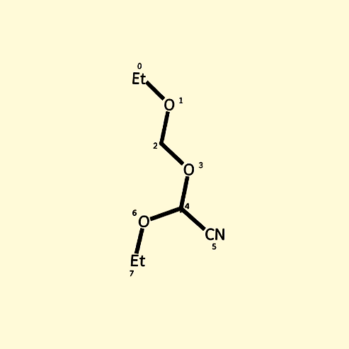 CCOCO[C](C#N)OCC